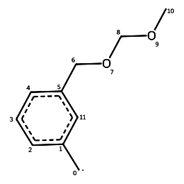 [CH2]c1cccc(COCOC)c1